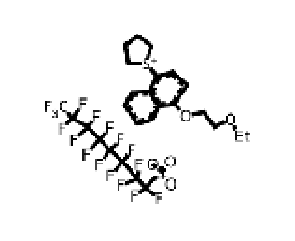 CCOCCOc1ccc([S+]2CCCC2)c2ccccc12.O=S(=O)([O-])C(F)(F)C(F)(F)C(F)(F)C(F)(F)C(F)(F)C(F)(F)C(F)(F)C(F)(F)F